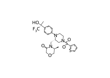 C[C@H]1COCC(=O)N1C[C@H]1CN(S(=O)(=O)c2cccs2)CCN1c1ccc([C@](C)(O)C(F)(F)F)cc1